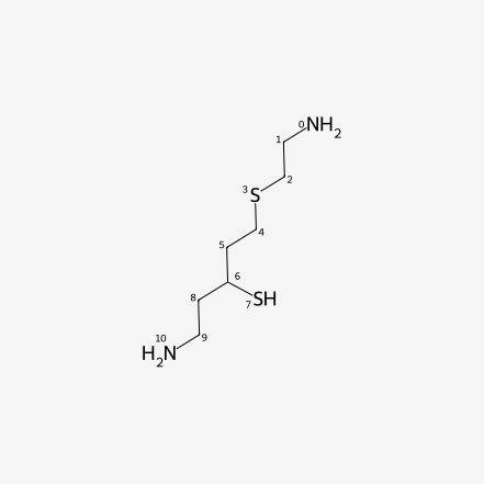 NCCSCCC(S)CCN